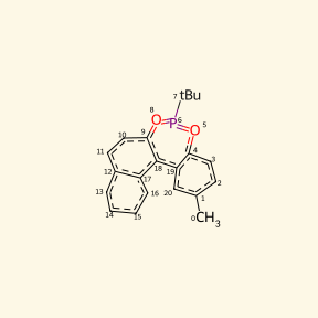 Cc1ccc2op(C(C)(C)C)oc3ccc4ccccc4c3c2c1